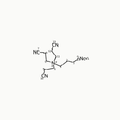 CCCCCCCCCCCC[N+](CCC#N)(CCC#N)CCC#N